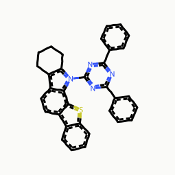 c1ccc(-c2nc(-c3ccccc3)nc(-n3c4c(c5ccc6c7ccccc7sc6c53)CCCC4)n2)cc1